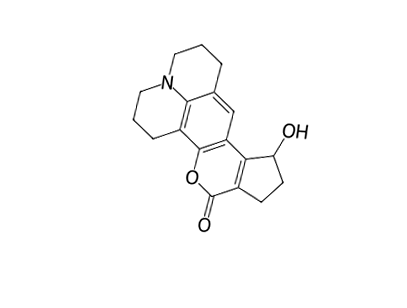 O=c1oc2c3c4c(cc2c2c1CCC2O)CCCN4CCC3